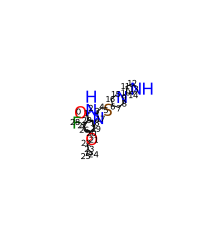 O=c1[nH]c(CSC2CCN(C3CCNC3)CC2)nc2cc(OCC3CC3)cc(F)c12